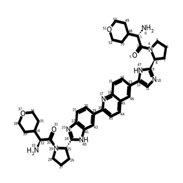 N[C@H](C(=O)N1CCC[C@H]1c1ncc(-c2ccc3nc(-c4ccc5nc([C@@H]6CCCN6C(=O)[C@@H](N)C6CCOCC6)[nH]c5c4)ccc3c2)[nH]1)C1CCOCC1